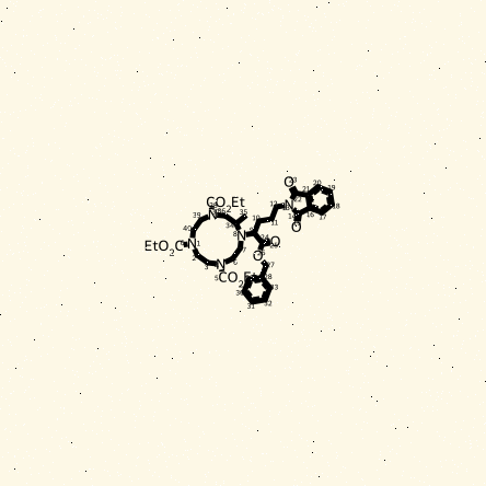 CCOC(=O)N1CCN(C(=O)OCC)CCN(C(CCCN2C(=O)c3ccccc3C2=O)C(=O)OCc2ccccc2)C(C)CN(C(=O)OCC)CC1